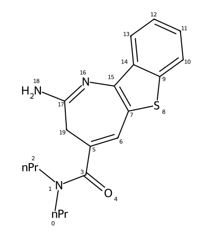 CCCN(CCC)C(=O)C1=Cc2sc3ccccc3c2N=C(N)C1